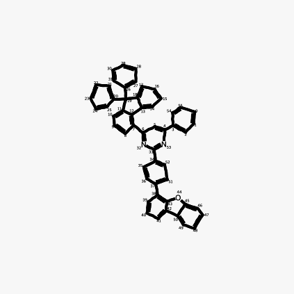 c1ccc(-c2cc(-c3cccc4c3-c3ccccc3C4(c3ccccc3)c3ccccc3)nc(-c3ccc(-c4cccc5c4oc4ccccc45)cc3)n2)cc1